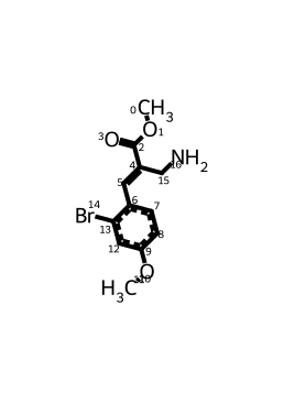 COC(=O)/C(=C/c1ccc(OC)cc1Br)CN